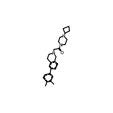 Cc1ccc(-c2ccc3c(c2)CCN(CC(=O)N2CCN(C4CCC4)CC2)C3)cc1C